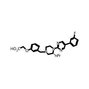 CCC[C@@H]1CN(Cc2cccc(OCC(=O)O)c2)CCN1c1ncc(-c2cccc(F)c2)cn1